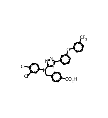 O=C(O)c1ccc(CN(c2ccc(Cl)c(Cl)c2)c2nnc(-c3cccc(Oc4cccc(C(F)(F)F)c4)c3)s2)cc1